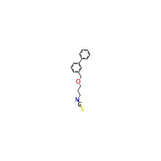 S=C=NCCCOCc1cccc(-c2ccccc2)c1